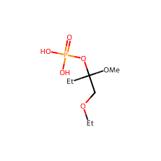 CCOCC(CC)(OC)OP(=O)(O)O